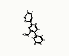 O=Cc1cc(-c2ccccn2)ccc1-c1ccccc1